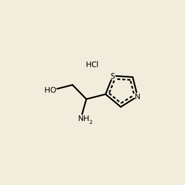 Cl.NC(CO)c1cncs1